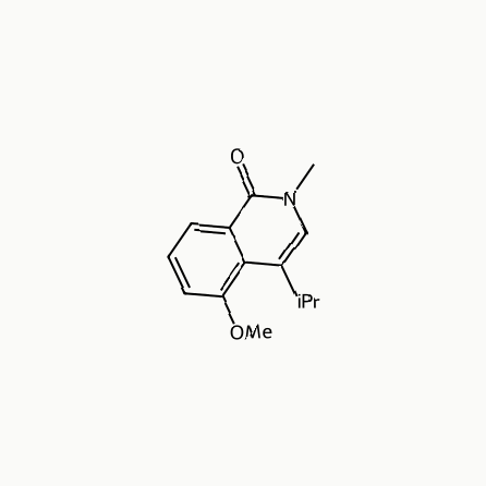 COc1cccc2c(=O)n(C)cc(C(C)C)c12